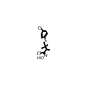 CC(C(Cl)=NO)C(C)(C)CSc1ccc(Cl)cc1